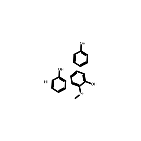 CPc1ccccc1O.I.Oc1ccccc1.Oc1ccccc1